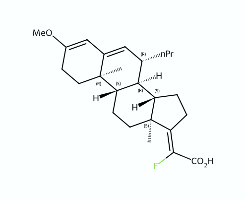 CCC[C@H]1C=C2C=C(OC)CC[C@]2(C)[C@H]2CC[C@]3(C)C(=C(F)C(=O)O)CC[C@H]3[C@H]12